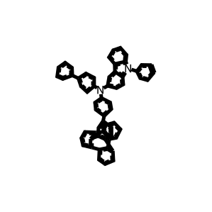 c1ccc(-n2c3ccccc3c3cc(N(c4ccc(-c5ccccc5)cc4)c4ccc(-c5ccc6c(c5)-c5c7cccc5-c5cccc-6c5-c5ccccc5-7)cc4)ccc32)cc#1